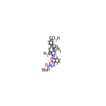 CC(C)(C)OC(=O)N1CCN(c2ccccc2C(=O)N2CCC3C(C)(C)C(c4ccc(C(=O)O)cc4)=CC[C@]3(C)C2)CC1